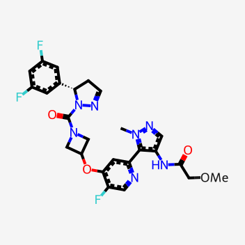 COCC(=O)Nc1cnn(C)c1-c1cc(OC2CN(C(=O)N3N=CC[C@H]3c3cc(F)cc(F)c3)C2)c(F)cn1